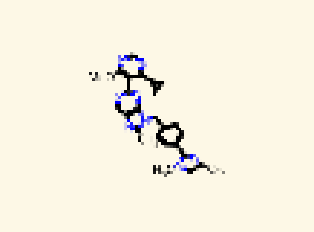 COc1ncnc(C2CC2)c1-c1ncc2nc(C)n(Cc3ccc(C4=NC(C(F)(F)F)CN4C)cc3)c2n1